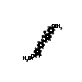 CCOCc1ccc(C2CCC(CCc3ccc(C4CCC(OC)CC4)c(F)c3F)CC2)cc1F